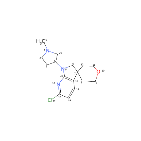 CN1CCC(N2CC3(CCOCC3)c3ccc(Cl)nc32)C1